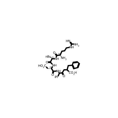 CCCC[C@H](NC(=O)[C@@H](N)CCCNC(=N)N)C(=O)N[C@@H](CC(=O)O)C(=O)NC(C(=O)CC(Cc1ccccc1)C(=O)O)C(C)C